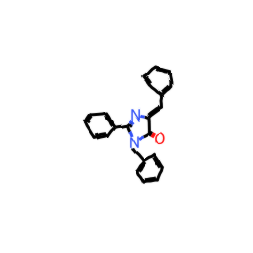 O=C1C(=Cc2ccccc2)N=C(c2ccccc2)N1Cc1ccccc1